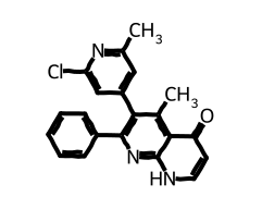 Cc1cc(-c2c(-c3ccccc3)nc3[nH]ccc(=O)c3c2C)cc(Cl)n1